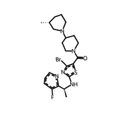 C[C@@H]1CCCN(C2CCN(C(=O)c3sc(N[C@@H](C)c4ncccc4F)nc3Br)CC2)C1